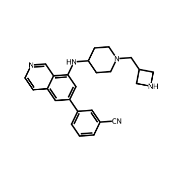 N#Cc1cccc(-c2cc(NC3CCN(CC4CNC4)CC3)c3cnccc3c2)c1